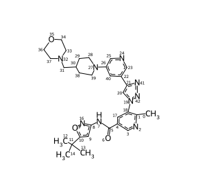 Cc1ncc(C(=O)Nc2cc(C(C)(C)C)on2)cc1-n1cc(-c2cncc(N3CCC(CN4CCOCC4)CC3)c2)nn1